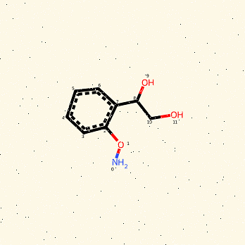 NOc1ccccc1C(O)CO